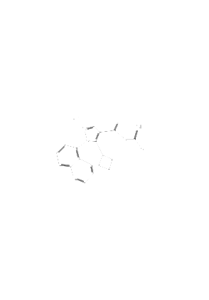 Cl.N=C(N)NC(=O)c1cnn(-c2cccc3ncccc23)c1C1CCC1